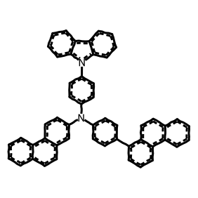 c1ccc2c(c1)ccc1cc(N(c3ccc(-c4cccc5c4ccc4ccccc45)cc3)c3ccc(-n4c5ccccc5c5ccccc54)cc3)ccc12